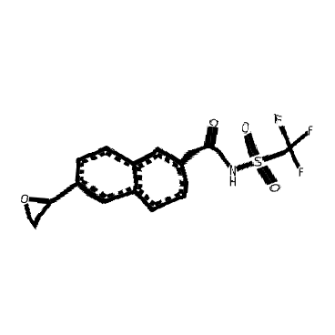 O=C(NS(=O)(=O)C(F)(F)F)c1ccc2cc(C3CO3)ccc2c1